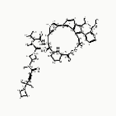 CCn1c(-c2cccnc2[C@H](C)OC)c2c3cc(ccc31)-c1csc(n1)C[C@H](NC(=O)C(C(C)C)N(C)C(=O)N1CC(N(C)C(=O)C#CC(C)(C)N3CCC3)C1)C(=O)N1CCC[C@H](N1)C(=O)OCC(C)(C)C2